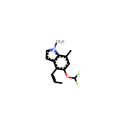 C/C=C\c1c(OC(F)F)cc(C)c2c1ccn2C(=O)O